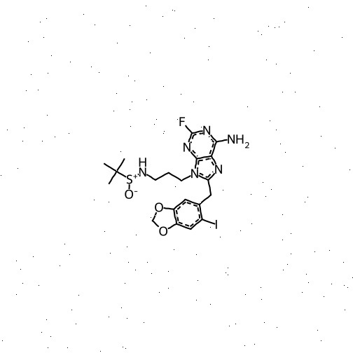 CC(C)(C)[S+]([O-])NCCCn1c(Cc2cc3c(cc2I)OCO3)nc2c(N)nc(F)nc21